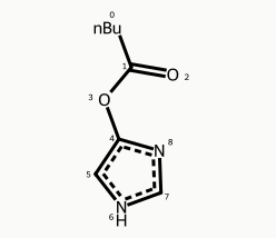 CCCCC(=O)Oc1c[nH]cn1